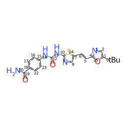 CC(C)(C)c1cnc(C=Cc2cnc(NC(=O)Nc3ccc(C(N)=O)cc3)s2)o1